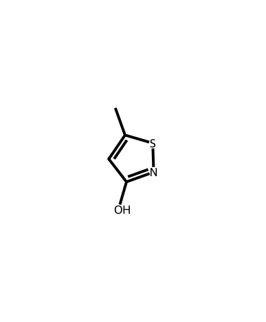 Cc1cc(O)ns1